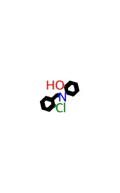 Oc1ccccc1N=Cc1ccccc1Cl